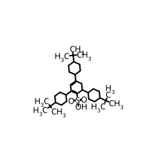 CC(C)(C)C1CCC(C2=CC(C3CCC(C(C)(C)C)CC3)=C(S(=O)(=O)O)C(C3CCC(C(C)(C)C)CC3)C2)CC1